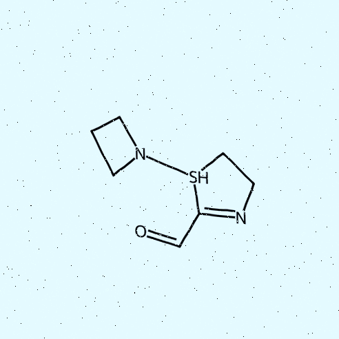 O=CC1=NCC[SH]1N1CCC1